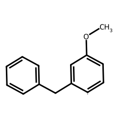 COc1cc[c]c(Cc2ccccc2)c1